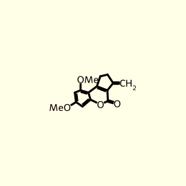 C=C1CCc2c1c(=O)oc1cc(OC)cc(OC)c21